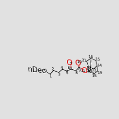 CCCCCCCCCCCCCCCC(=O)CC(=O)OC12CC3CC(CC(C3)C1)C2